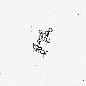 CO[C@@H]1C[C@@H](C(=O)N2CC3(C2)CN(c2ncnc4sc(CC(F)(F)F)cc24)C3)N(C(=O)OC(C)(C)C)C1